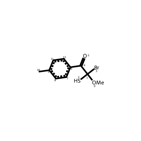 COC(S)(Br)C(=O)c1ccc(C)cc1